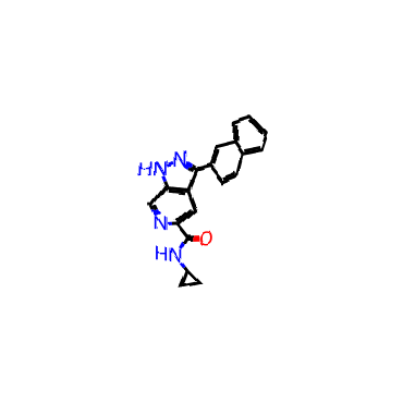 O=C(NC1CC1)c1cc2c(-c3ccc4ccccc4c3)n[nH]c2cn1